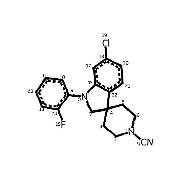 N#CN1CCC2(CC1)CN(c1ccccc1F)c1cc(Cl)ccc12